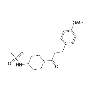 COc1ccc(CCC(=O)N2CCC(NS(C)(=O)=O)CC2)cc1